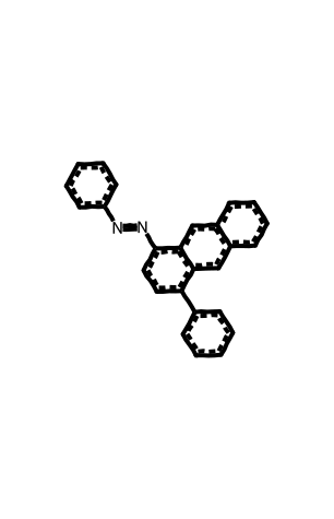 c1ccc(N=Nc2ccc(-c3ccccc3)c3cc4ccccc4cc23)cc1